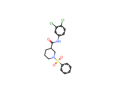 O=C(Nc1ccc(Cl)c(Cl)c1)C1CCCN(S(=O)(=O)c2ccccc2)C1